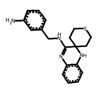 Nc1cccc(CNC2=Nc3ccccc3NC23CCSCC3)c1